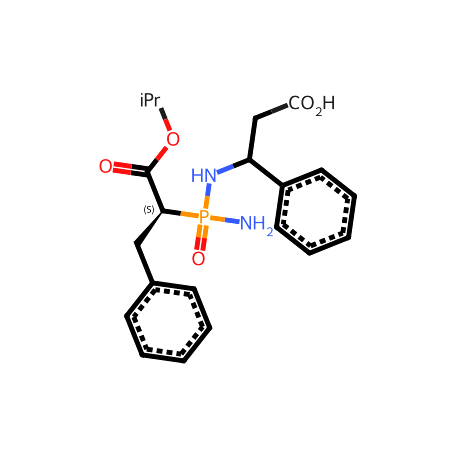 CC(C)OC(=O)[C@H](Cc1ccccc1)P(N)(=O)NC(CC(=O)O)c1ccccc1